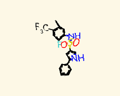 Cc1cc(NS(=O)(=O)c2c[nH]c(-c3ccccc3)c2)c(F)cc1C(F)(F)F